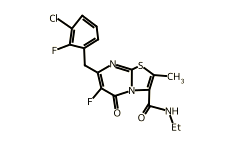 CCNC(=O)c1c(C)sc2nc(Cc3cccc(Cl)c3F)c(F)c(=O)n12